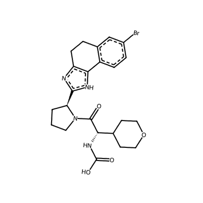 O=C(O)N[C@H](C(=O)N1CCC[C@H]1c1nc2c([nH]1)-c1ccc(Br)cc1CC2)C1CCOCC1